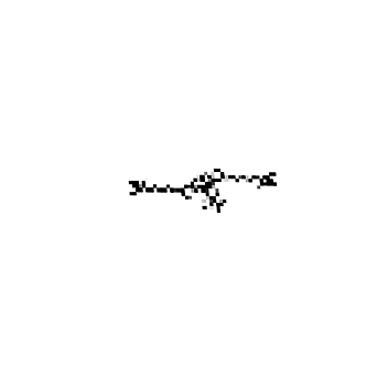 C=C(C)C(=O)OC12CC3CC(OCCCCCCC4(C)COC4)(CC(OCCCCCCC4(C)COC4)(C3)C1)C2